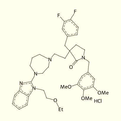 CCOCCn1c(N2CCCN(CCC3(Cc4ccc(F)c(F)c4)CCN(Cc4cc(OC)c(OC)c(OC)c4)C3=O)CC2)nc2ccccc21.Cl